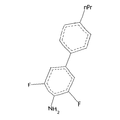 CCCc1ccc(-c2cc(F)c(N)c(F)c2)cc1